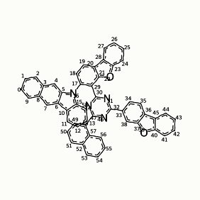 c1ccc2cc3c(cc2c1)c1ccccc1n3-c1ccc2c(oc3ccccc32)c1-c1nc(-c2ccc3c(c2)oc2ccccc23)nc(-c2cccc3ccccc23)n1